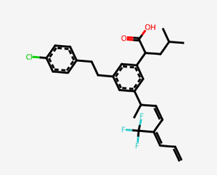 C=C/C=C(\C=C/C(C)c1cc(CCc2ccc(Cl)cc2)cc(C(CC(C)C)C(=O)O)c1)C(F)(F)F